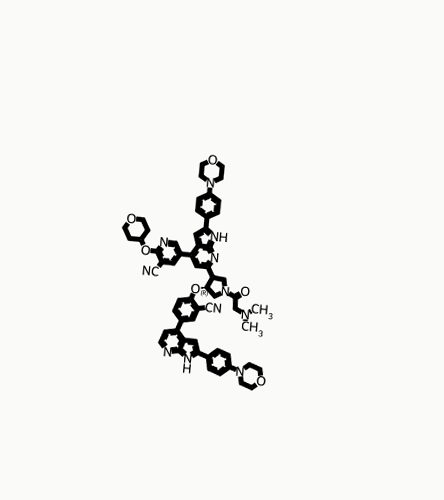 CN(C)CC(=O)N1CC(c2cc(-c3cnc(OC4CCOCC4)c(C#N)c3)c3cc(-c4ccc(N5CCOCC5)cc4)[nH]c3n2)[C@@H](Oc2ccc(-c3ccnc4[nH]c(-c5ccc(N6CCOCC6)cc5)cc34)cc2C#N)C1